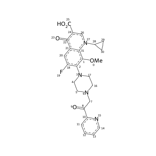 COc1c(N2CCN(CC(=O)c3ccccn3)CC2)c(F)cc2c(=O)c(C(=O)O)cn(C3CC3)c12